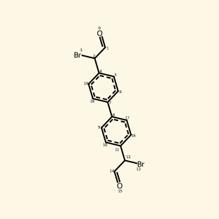 O=CC(Br)c1ccc(-c2ccc(C(Br)C=O)cc2)cc1